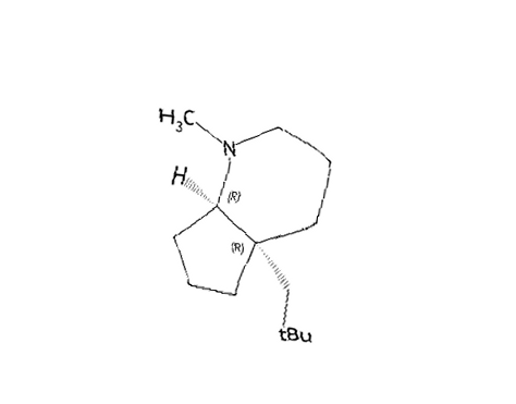 CN1CCC[C@@]2(CC(C)(C)C)CCC[C@@H]12